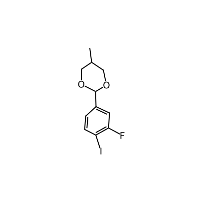 CC1COC(c2ccc(I)c(F)c2)OC1